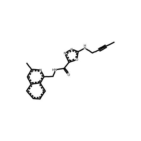 CC#CCNc1nnc(C(=O)NCc2nc(C)cc3ccccc23)o1